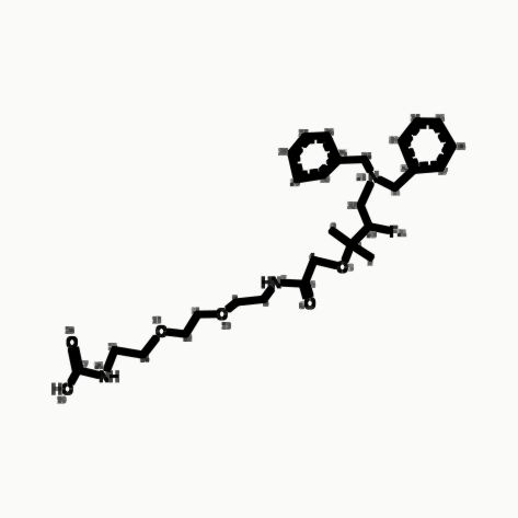 CC(C)(OCC(=O)NCCOCCOCCNC(=O)O)C(F)CN(Cc1ccccc1)Cc1ccccc1